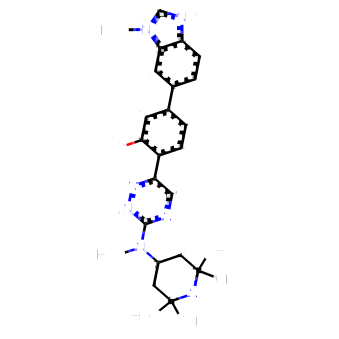 CN(c1ncc(-c2ccc(-c3ccc4ncn(C)c4c3)cc2O)nn1)C1CC(C)(C)NC(C)(C)C1